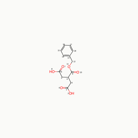 O=C(O)CC(CC(=O)O)C(=O)OCc1ccccc1